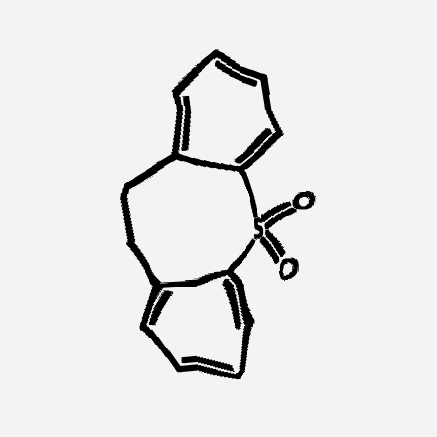 O=S1(=O)c2ccccc2CCc2ccccc21